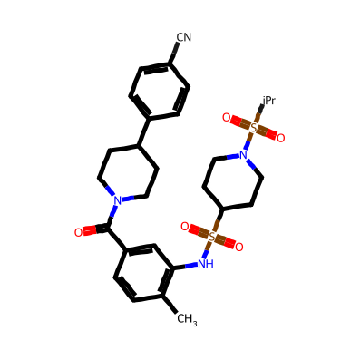 Cc1ccc(C(=O)N2CCC(c3ccc(C#N)cc3)CC2)cc1NS(=O)(=O)C1CCN(S(=O)(=O)C(C)C)CC1